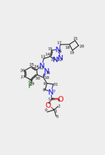 CC(C)(C)OC(=O)N1CC(c2nn(Cc3cn(CC4CCC4)nn3)c3cccc(F)c23)C1